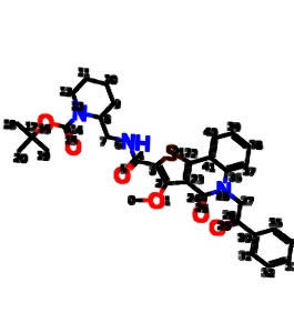 COc1c(C(=O)NCC2CCCCN2C(=O)OC(C)(C)C)sc2c1c(=O)n(CC(=O)c1ccccc1)c1ccccc21